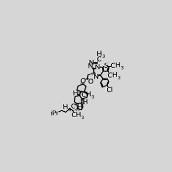 Cc1sc2c(c1C)C(c1ccc(Cl)cc1)=N[C@@H](CC(=O)O[C@H]1CC[C@@]3(C)C(=CC[C@H]4[C@@H]5CC[C@H](C(C)CCCC(C)C)[C@@]5(C)CC[C@@H]43)C1)c1nnc(C)n1-2